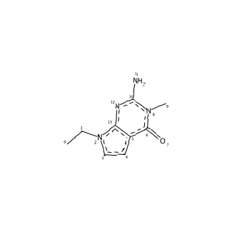 CCn1ccc2c(=O)n(C)c(N)nc21